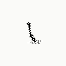 CCCCCC[C@](C)(C(=O)O)c1ccc(-c2ncc(CCCCCCCCC3CCCC3)cn2)cc1